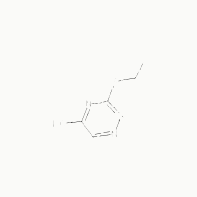 CCSc1nncc(O)n1